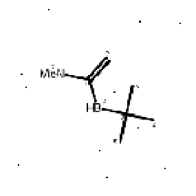 C=C(BC(C)(C)C)NC